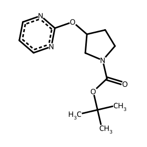 CC(C)(C)OC(=O)N1CCC(Oc2ncccn2)C1